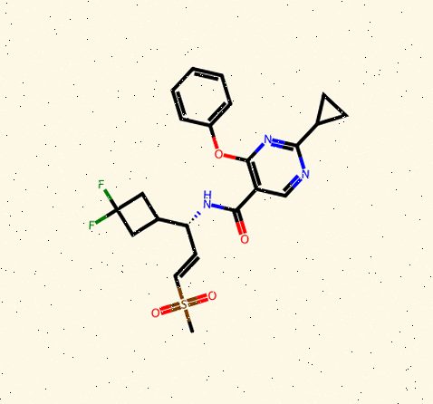 CS(=O)(=O)/C=C/[C@@H](NC(=O)c1cnc(C2CC2)nc1Oc1ccccc1)C1CC(F)(F)C1